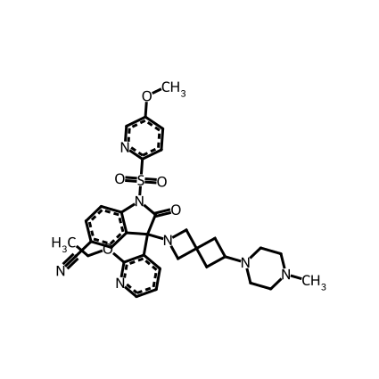 CCOc1ncccc1C1(N2CC3(CC(N4CCN(C)CC4)C3)C2)C(=O)N(S(=O)(=O)c2ccc(OC)cn2)c2ccc(C#N)cc21